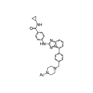 CC(=O)N1CCN(Cc2ccc(-c3cccc4nc(Nc5ccc(C(=O)NC6CC6)cc5)nn34)cc2)CC1